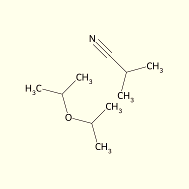 CC(C)C#N.CC(C)OC(C)C